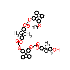 CCCOc1ccc(C2(c3ccc(OCCC(=O)Oc4ccc(C(C)(C)c5ccc(OC(=O)CCOc6ccc(C7(c8ccc(OCCC(=O)Oc9ccc(C(C)(C)c%10ccc(O)cc%10)cc9)cc8)c8ccccc8-c8ccccc87)cc6)cc5)cc4)cc3)c3ccccc3-c3ccccc32)cc1